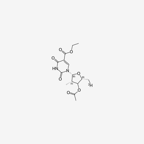 [2H]C[C@H]1O[C@@H](n2cc(C(=O)OCC)c(=O)[nH]c2=O)[C@@H](C)C1OC(C)=O